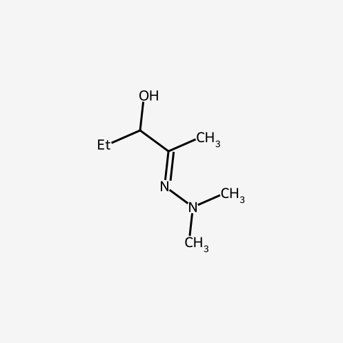 CCC(O)C(C)=NN(C)C